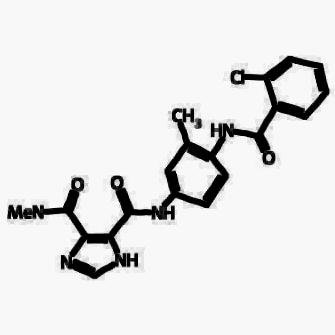 CNC(=O)c1nc[nH]c1C(=O)Nc1ccc(NC(=O)c2ccccc2Cl)c(C)c1